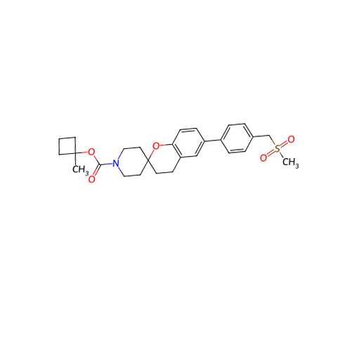 CC1(OC(=O)N2CCC3(CCc4cc(-c5ccc(CS(C)(=O)=O)cc5)ccc4O3)CC2)CCC1